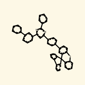 c1ccc(-c2cccc(-c3cc(-c4ccc(-c5ccc6c(c5)C5(c7ccccc7S6)c6ccccc6-c6ccccc65)cc4)nc(-c4ccccc4)n3)c2)cc1